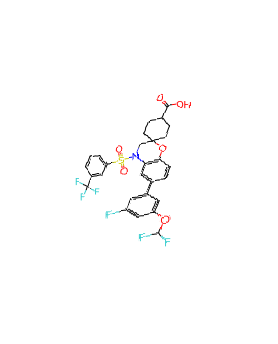 O=C(O)C1CCC2(CC1)CN(S(=O)(=O)c1cccc(C(F)(F)F)c1)c1cc(-c3cc(F)cc(OC(F)F)c3)ccc1O2